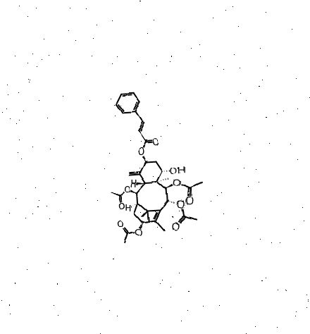 C=C1[C@@H](OC(=O)/C=C/c2ccccc2)C[C@H](O)[C@@]2(C)[C@@H](OC(C)=O)[C@H](OC(C)=O)C3=C(C)[C@@H](OC(C)=O)C[C@@H]([C@@H](OC(C)=O)[C@H]12)C3(C)C